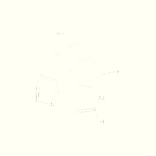 CC(=O)Nc1ccc(S(=O)(=O)O)cc1C.c1ccncc1